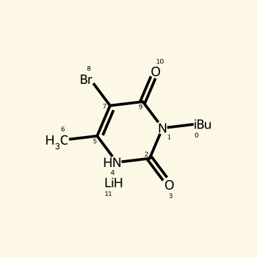 CCC(C)n1c(=O)[nH]c(C)c(Br)c1=O.[LiH]